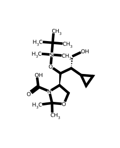 CC1(C)OC[C@H](C(O[Si](C)(C)C(C)(C)C)[C@H](CO)C2CC2)N1C(=O)O